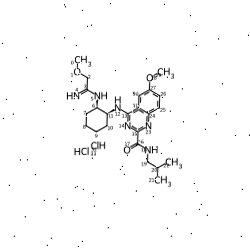 COCC(=N)N[C@@H]1CCCC[C@@H]1Nc1nc(C(=O)NCC(C)C)nc2ccc(OC)cc12.Cl.Cl